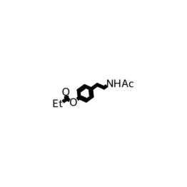 CCC(=O)Oc1ccc(CCNC(C)=O)cc1